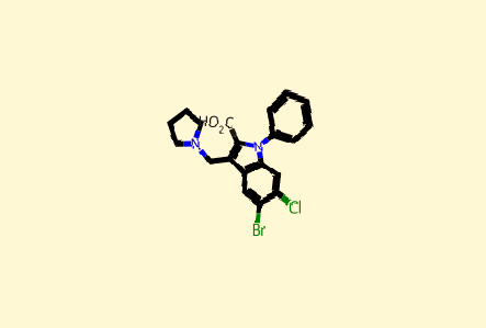 O=C(O)c1c(CN2CCCC2)c2cc(Br)c(Cl)cc2n1-c1ccccc1